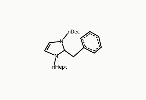 CCCCCCCCCCN1C=CN(CCCCCCC)C1Cc1ccccc1